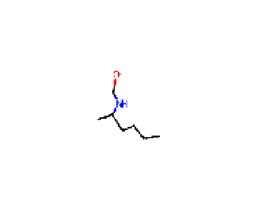 CCCCC(C)NC[O]